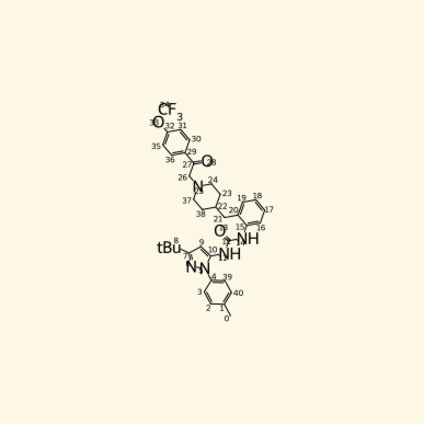 Cc1ccc(-n2nc(C(C)(C)C)cc2NC(=O)Nc2ccccc2CC2CCN(CC(=O)c3ccc(OC(F)(F)F)cc3)CC2)cc1